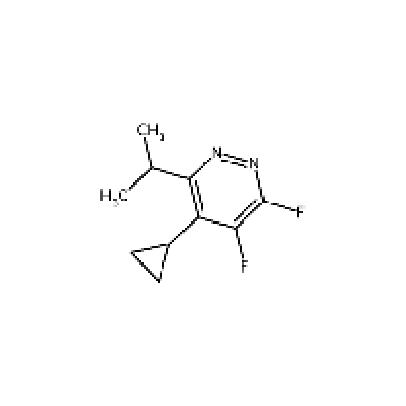 CC(C)c1nnc(F)c(F)c1C1CC1